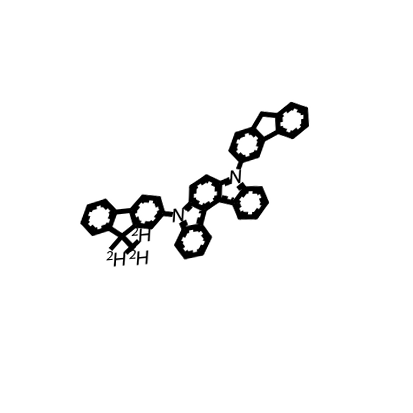 [2H]C([2H])([2H])C1(C)c2ccccc2-c2ccc(-n3c4ccccc4c4c5c6ccccc6n(-c6ccc7c(c6)-c6ccccc6C7)c5ccc43)cc21